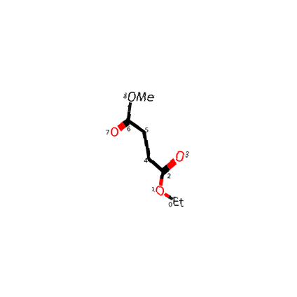 CCOC(=O)CCC(=O)OC